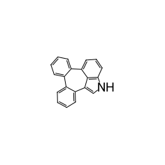 c1ccc2c(c1)-c1ccccc1-c1c[nH]c3cccc-2c13